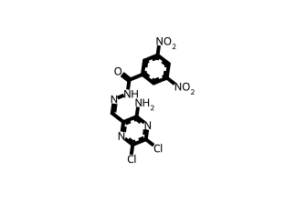 Nc1nc(Cl)c(Cl)nc1/C=N\NC(=O)c1cc([N+](=O)[O-])cc([N+](=O)[O-])c1